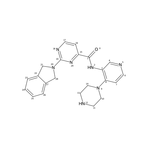 O=C(Nc1cnccc1N1CCNCC1)c1ccnc(N2Cc3ccccc3C2)n1